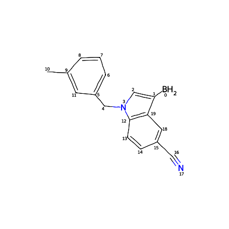 Bc1cn(Cc2cccc(C)c2)c2ccc(C#N)cc12